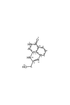 O=c1[nH]nc2c3c(cccc13)N=C(CO)N2